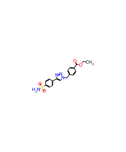 CCOC(=O)c1ccc(Cn2cc(-c3ccc(S(N)(=O)=O)cc3)nn2)cc1